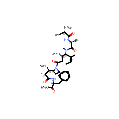 C/C=C(/C)[C@@H]([C@@H](CC(=O)N1CC[C@H]1[C@H](OC)[C@@H](C)C(=O)N[C@@H](Cc1ccccc1)C(=O)OC)OC)N(C)C(=O)[C@@H](NC(=O)[C@@H](NC)C(C)C)C(C)C